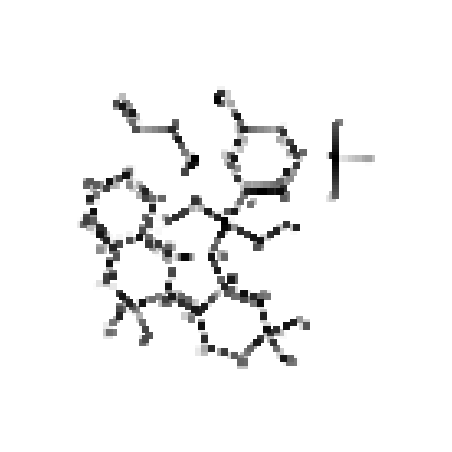 C=CCOc1c(Cl)cc(C(C)(C)C)cc1[Si](CC)(CC)C1C2=CC(C)(C)CCC2=C2C1=c1ccccc1=CC2(C)C